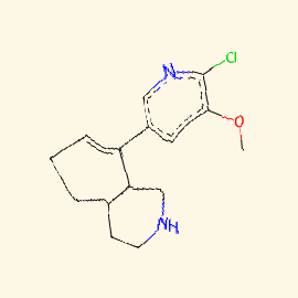 COc1cc(C2=CCCC3CCNCC23)cnc1Cl